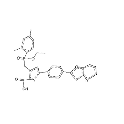 CCOP(=O)(Cc1cc(-c2ccc(-c3cc4ncccc4o3)cc2)sc1C(=O)O)c1ccc(C)cc1C